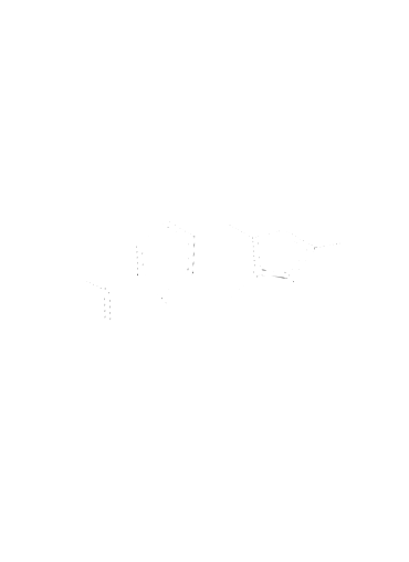 Cc1cc(Oc2ccc([N+](=O)[O-])nc2)n(C)n1